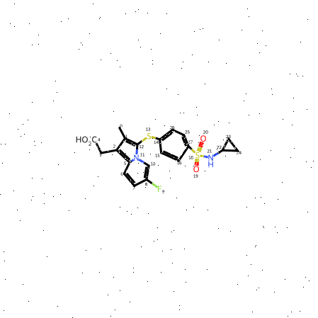 Cc1c(CC(=O)O)c2ccc(F)cn2c1Sc1ccc(S(=O)(=O)NC2CC2)cc1